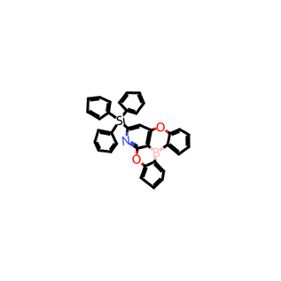 c1ccc([Si](c2ccccc2)(c2ccccc2)c2cc3c4c(n2)Oc2ccccc2B4c2ccccc2O3)cc1